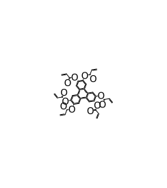 C=CC(=O)Oc1cc2c3cc(OC(=O)C=C)c(OC(=O)C=C)cc3c3cc(OC(=O)C=C)c(OC(=O)C=C)cc3c2cc1OC(=O)C=C